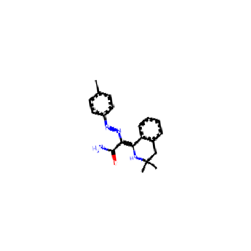 Cc1ccc(N=NC(C(N)=O)=C2NC(C)(C)Cc3ccccc32)cc1